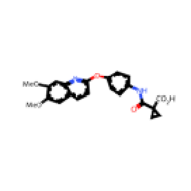 COc1cc2ccc(Oc3ccc(NC(=O)C4(C(=O)O)CC4)cc3)nc2cc1OC